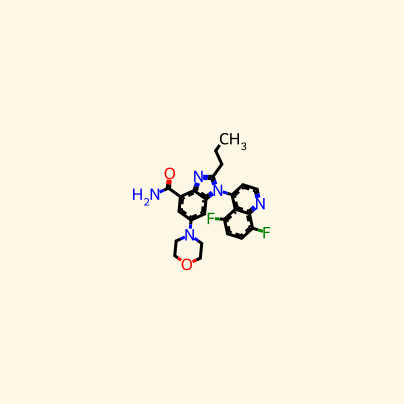 CCCc1nc2c(C(N)=O)cc(N3CCOCC3)cc2n1-c1ccnc2c(F)ccc(F)c12